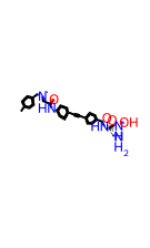 Cc1ccc(CN(C)CC(=O)Nc2ccc(C#Cc3ccc(C(=O)N[C@@H](CN)C(=O)NO)cc3)cc2)cc1